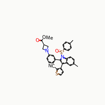 COC(=O)C1CN(c2cccc(-c3c(-c4ccsc4C#N)c4cc(C)ccc4n3[S+]([O-])c3ccc(C)cc3)c2)C1